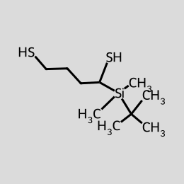 CC(C)(C)[Si](C)(C)C(S)CCCS